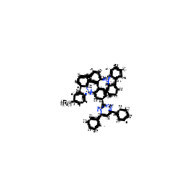 CC(C)(C)c1ccc2c(c1)c1ccccc1n2-c1cc(-c2nc(-c3ccccc3)cc(-c3ccccc3)n2)ccc1-c1ccccc1-n1c2ccccc2c2ccccc21